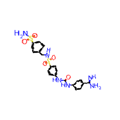 N=C(N)c1ccc(NC(=O)Nc2ccc(S(=O)(=O)NCc3ccc(S(N)(=O)=O)cc3)cc2)cc1